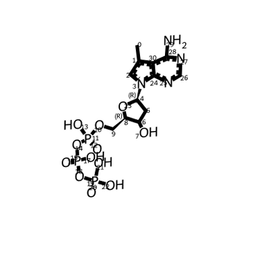 Cc1cn([C@H]2CC(O)[C@@H](COP(=O)(O)OP(=O)(O)OP(=O)(O)O)O2)c2ncnc(N)c12